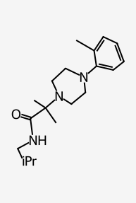 Cc1ccccc1N1CCN(C(C)(C)C(=O)NCC(C)C)CC1